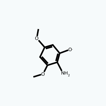 COc1cc([O])c(N)c(OC)c1